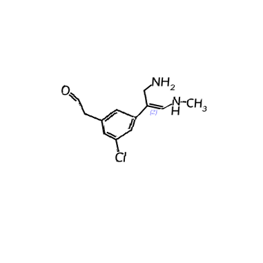 CN/C=C(\CN)c1cc(Cl)cc(CC=O)c1